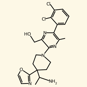 Cc1nc(N2CCC(c3ncco3)(C(C)N)CC2)c(CO)nc1-c1cccc(Cl)c1Cl